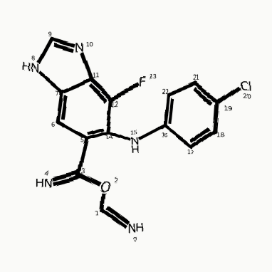 N=COC(=N)c1cc2[nH]cnc2c(F)c1Nc1ccc(Cl)cc1